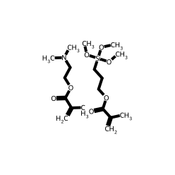 C=C(C)C(=O)OCCC[Si](OC)(OC)OC.C=C(C)C(=O)OCCN(C)C